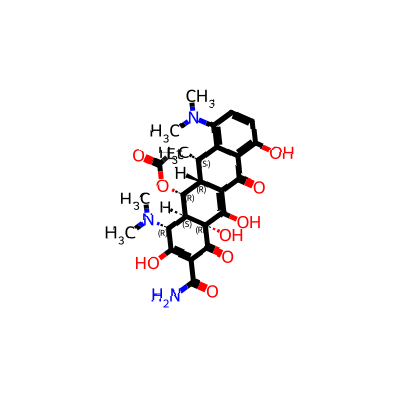 CCC(=O)O[C@@H]1[C@H]2C(=C(O)[C@@]3(O)C(=O)C(C(N)=O)=C(O)[C@H](N(C)C)[C@@H]13)C(=O)c1c(O)ccc(N(C)C)c1[C@H]2C